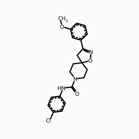 COc1cccc(C2=NOC3(CCN(C(=O)Nc4ccc(Cl)cc4)CC3)C2)c1